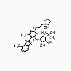 Cc1nc(NCCC2(O)CCCC2)nc(N[C@@H]2C[C@H](C(C)(C)O)[C@@H](O)[C@H]2O)c1-c1nc2c(C)nccc2s1